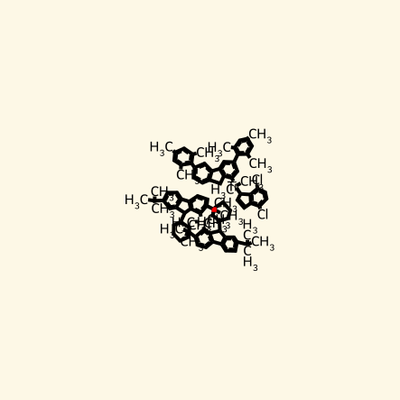 CC(C)(C)c1ccc2c(c1)C(C1CCCCC1)c1c-2ccc(C(C)(C)C)[c]1[Hf]([CH3])([CH3])[c]1c(C(C)(C)C)ccc2c1C(C1CCCCC1)c1cc(C(C)(C)C)ccc1-2.Cc1cc(C)c(-c2ccc3c(c2)-c2cc(-c4c(C)cc(C)cc4C)c[c]([Ti]([CH3])([CH3])[CH]4C=Cc5c(Cl)ccc(Cl)c54)c2C3)c(C)c1